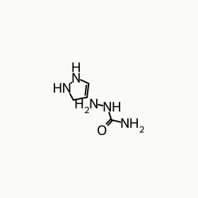 C1=CNNC1.NNC(N)=O